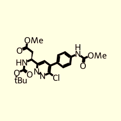 COC(=O)C[C@H](NC(=O)OC(C)(C)C)c1cc(-c2ccc(NC(=O)OC)cc2)c(Cl)nn1